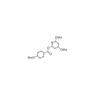 COc1ccc(C(=O)Oc2cc(OC)cc(OC)n2)cc1